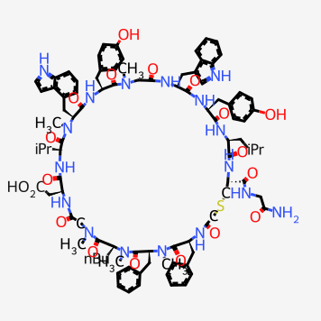 CCCC[C@H]1C(=O)N(C)CC(=O)N[C@@H](CC(=O)O)C(=O)N[C@@H](C(C)C)C(=O)N(C)[C@@H](Cc2cccc3[nH]ccc23)C(=O)N[C@@H](Cc2ccc(O)cc2)C(=O)N(C)CC(=O)N[C@@H](Cc2c[nH]c3ccccc23)C(=O)N[C@@H](Cc2ccc(O)cc2)C(=O)N[C@@H](CC(C)C)C(=O)N[C@H](C(=O)NCC(N)=O)CSCC(=O)N[C@@H](Cc2ccccc2)C(=O)N(C)[C@@H](Cc2ccccc2)C(=O)N1C